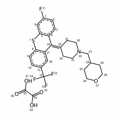 Fc1ccc2c(c1)Sc1ccc(C(F)(F)F)cc1C2=C1CCN(CC2CCOCC2)CC1.O=C(O)C(=O)O